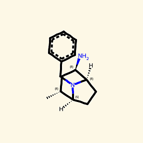 C[C@@H]1C[C@@H](N)[C@H]2CC[C@@H]1N2Cc1ccccc1